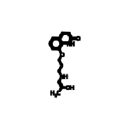 CC(O)=CNCCCOc1cccc2ccc(=O)[nH]c12